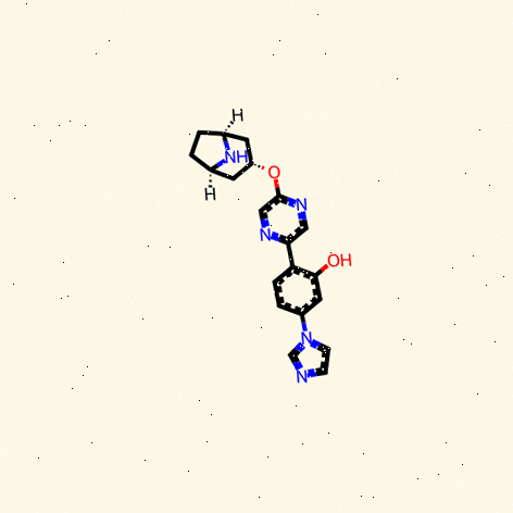 Oc1cc(-n2ccnc2)ccc1-c1cnc(O[C@@H]2C[C@H]3CC[C@@H](C2)N3)cn1